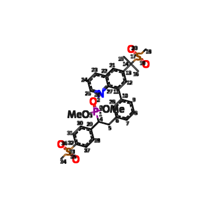 COP(=O)(OC)C(Cc1cccc(-c2cc(C(C)(C)S(C)(=O)=O)cc3cccnc23)c1)c1ccc(S(C)(=O)=O)cc1